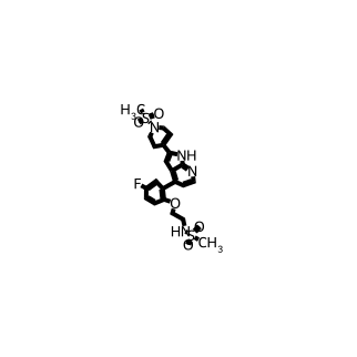 CS(=O)(=O)NCCOc1ccc(F)cc1-c1ccnc2[nH]c(C3=CCN(S(C)(=O)=O)CC3)cc12